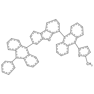 Cc1ccc(-c2c3ccccc3c(-c3cccc4c3oc3cc(-c5c6ccccc6c(-c6ccccc6)c6ccccc56)ccc34)c3ccccc23)s1